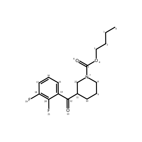 CCCCOC(=O)N1CCCC(C(=O)c2cccc(F)c2F)C1